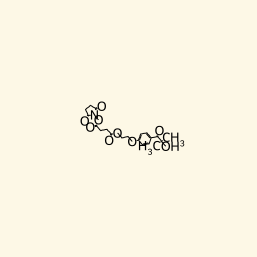 CC(C)(O)C(=O)c1ccc(OCCOC(=O)CCC(=O)ON2C(=O)CCC2=O)cc1